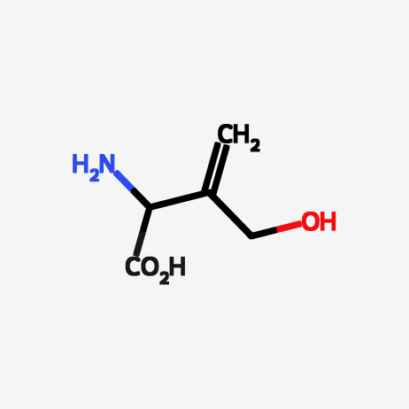 C=C(CO)C(N)C(=O)O